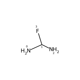 NC(N)F